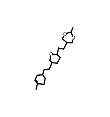 CC1=CCC(CCC2CCC(CCC3COC(C)OC3)OC2)CC1